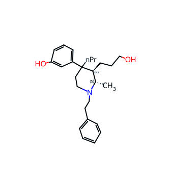 CCCC1(c2cccc(O)c2)CCN(CCc2ccccc2)[C@@H](C)[C@@H]1CCCO